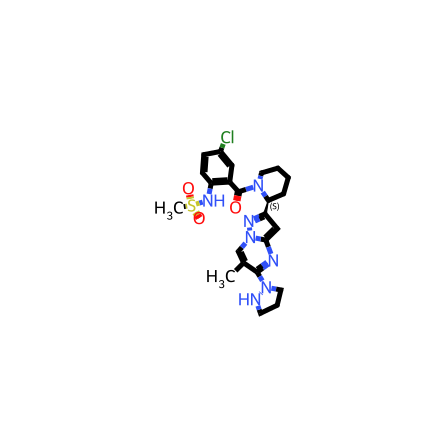 Cc1cn2nc([C@@H]3CCCCN3C(=O)c3cc(Cl)ccc3NS(C)(=O)=O)cc2nc1N1CCCN1